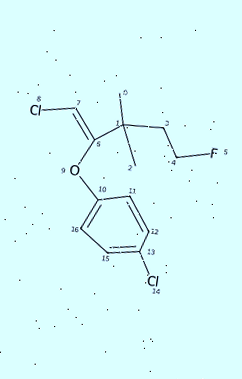 CC(C)(CCF)/C(=C/Cl)Oc1ccc(Cl)cc1